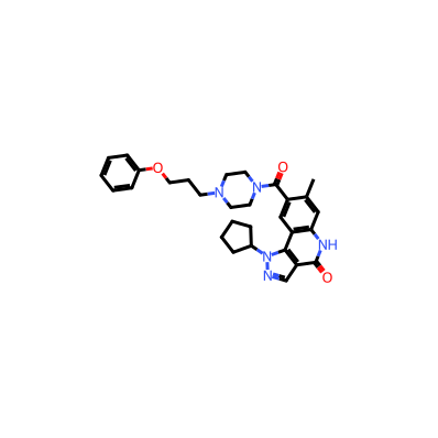 Cc1cc2[nH]c(=O)c3cnn(C4CCCC4)c3c2cc1C(=O)N1CCN(CCCOc2ccccc2)CC1